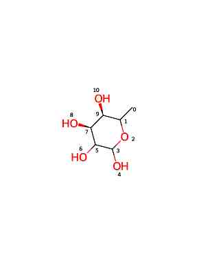 CC1OC(O)C(O)[C@@H](O)[C@H]1O